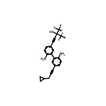 Nc1[c]cc(C#CCC2CC2)cc1-c1cc(C#CC(O)(C(F)(F)F)C(F)(F)F)ccc1N